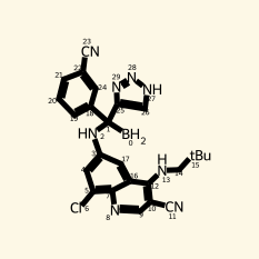 BC(Nc1cc(Cl)c2ncc(C#N)c(NCC(C)(C)C)c2c1)(c1cccc(C#N)c1)c1c[nH]nn1